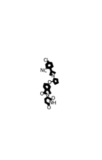 N#Cc1cc(Cl)ccc1C1CN([C@@H]2CCC[C@H]2Oc2ccc3c(c2)CN([C@@H]2CCC(=O)NC2=O)C3=O)C1